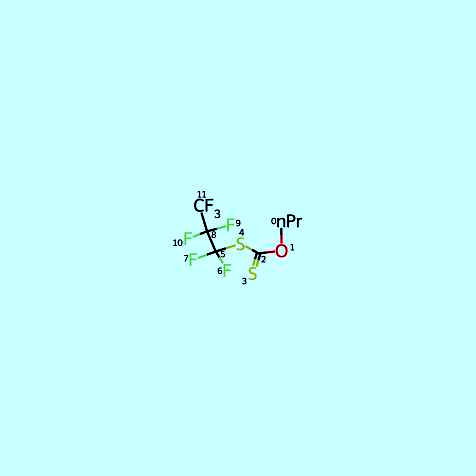 CCCOC(=S)SC(F)(F)C(F)(F)C(F)(F)F